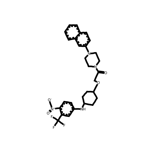 O=C(COC1CCC(Nc2ccc([N+](=O)[O-])c(C(F)(F)F)c2)CC1)N1CCN(c2ccc3ccccc3c2)CC1